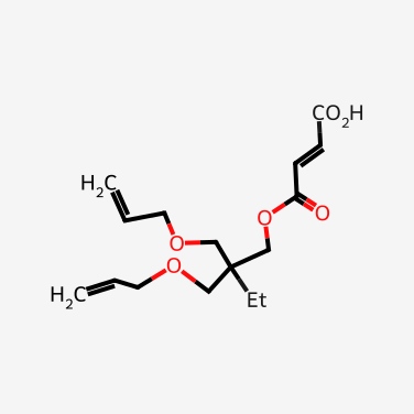 C=CCOCC(CC)(COCC=C)COC(=O)/C=C/C(=O)O